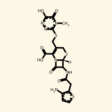 Cn1c(SCC2=C(C(=O)O)N3C(=O)C(NC(=O)Cc4sccc4N)[C@H]3SC2)nnc(O)c1=O